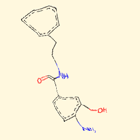 Nc1ccc(C(=O)NCCc2ccccc2)cc1O